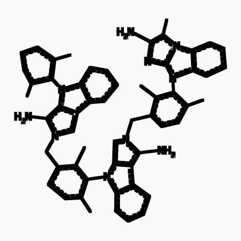 Cc1ccc(Cn2cc3c4ccccc4n(-c4c(C)cccc4C)c3c2N)c(C)c1-n1c2ccccc2c2c(N)n(Cc3ccc(C)c(-n4c5ccccc5n5c(C)c(N)nc45)c3C)cc21